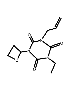 C=CCn1c(=O)n(CC)c(=O)n(C2CCO2)c1=O